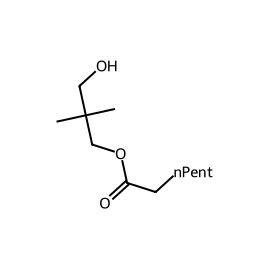 CCCCCCC(=O)OCC(C)(C)CO